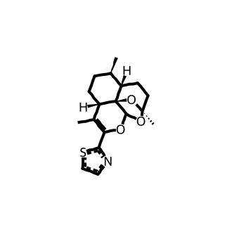 CC1=C(c2nccs2)OC2O[C@]3(C)CC[C@H]4[C@H](C)CC[C@@H]1[C@@]24O3